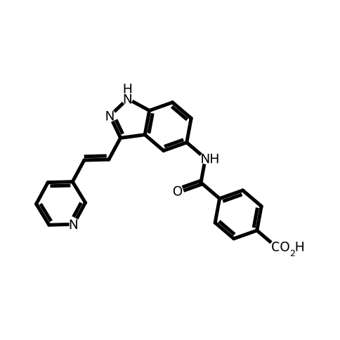 O=C(O)c1ccc(C(=O)Nc2ccc3[nH]nc(C=Cc4cccnc4)c3c2)cc1